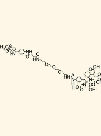 CS(=O)(=O)c1nnc(-c2ccc(NC(=O)CCC(=O)NCCCOCCOCCOCCCNC(=S)Nc3ccc(C[C@@H](CN(CC(=O)O)[C@@H]4CCCCC4C(CC(=O)O)CC(=O)O)N(CC(=O)O)CC(=O)O)cc3)cc2)o1